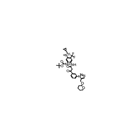 CN(CC1CC1)c1cc(NC(=O)OC(C)(C)C)c(NC(=O)CC(=O)c2cccc(-n3nncc3COC3CCCCO3)c2)cc1C(F)(F)F